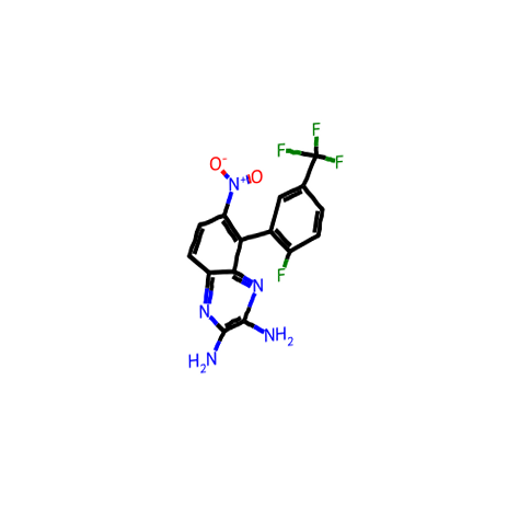 Nc1nc2ccc([N+](=O)[O-])c(-c3cc(C(F)(F)F)ccc3F)c2nc1N